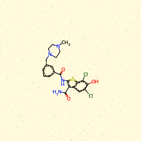 CN1CCN(Cc2cccc(C(=O)Nc3sc4c(Cl)c(O)c(Cl)cc4c3C(N)=O)c2)CC1